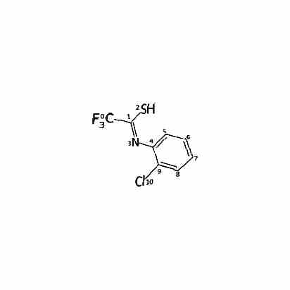 FC(F)(F)C(S)=Nc1ccccc1Cl